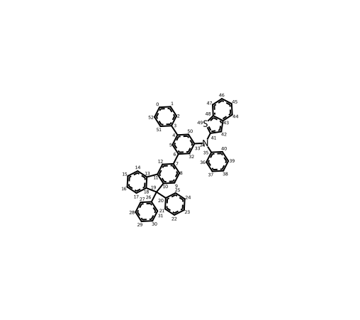 c1ccc(-c2cc(-c3ccc4c(c3)-c3ccccc3C4(c3ccccc3)c3ccccc3)cc(N(c3ccccc3)c3cc4ccccc4s3)c2)cc1